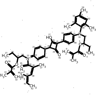 C=C(C)C(=O)OC(CC)CN(c1ccc(C2=C(O)C(C3C=CC(=[N+](CC(CC)OC(=O)C(=C)C)C(=C)/C(C)=C\C(C)=C/C)C=C3)C2=O)cc1)c1c(C)cc(C)cc1C